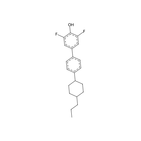 CCCC1CCC(c2ccc(-c3cc(F)c(O)c(F)c3)cc2)CC1